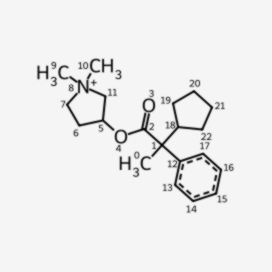 CC(C(=O)OC1CC[N+](C)(C)C1)(c1ccccc1)C1CCCC1